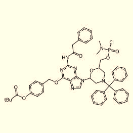 CN(C)P(=O)(Cl)OCC1CN(C(c2ccccc2)(c2ccccc2)c2ccccc2)CC(n2cnc3c(OCc4ccc(OC(=O)C(C)(C)C)cc4)nc(NC(=O)Cc4ccccc4)nc32)O1